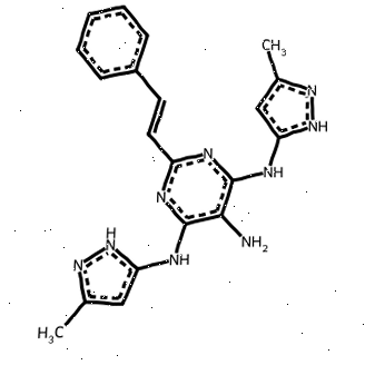 Cc1cc(Nc2nc(/C=C/c3ccccc3)nc(Nc3cc(C)n[nH]3)c2N)[nH]n1